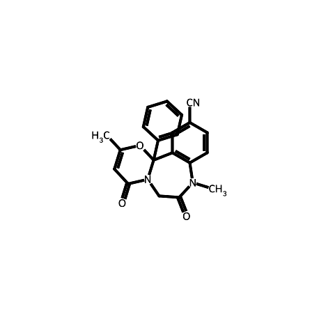 CC1=CC(=O)N2CC(=O)N(C)c3ccc(C#N)cc3C2(c2ccccc2)O1